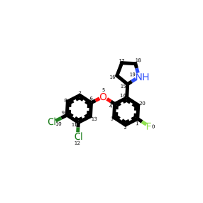 Fc1ccc(Oc2ccc(Cl)c(Cl)c2)c(C2CCCN2)c1